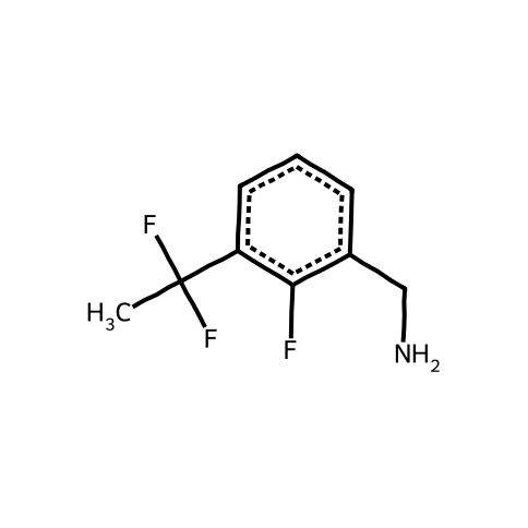 CC(F)(F)c1cccc(CN)c1F